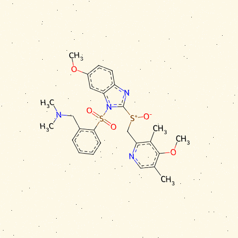 COc1ccc2nc([S+]([O-])Cc3ncc(C)c(OC)c3C)n(S(=O)(=O)c3ccccc3CN(C)C)c2c1